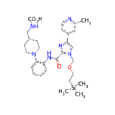 Cc1cc(-c2cn(COCC[Si](C)(C)C)c(C(=O)Nc3ccccc3N3CCC(CNC(=O)O)CC3)n2)ccn1